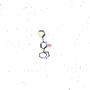 Br.c1csc(-c2ccc(C34CCCN(CC3)C4)cn2)c1